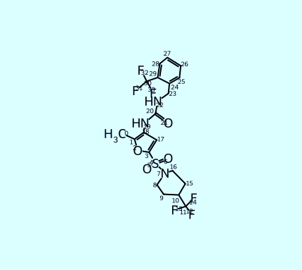 Cc1oc(S(=O)(=O)N2CCC(C(F)(F)F)CC2)cc1NC(=O)NCc1ccccc1C(F)(F)F